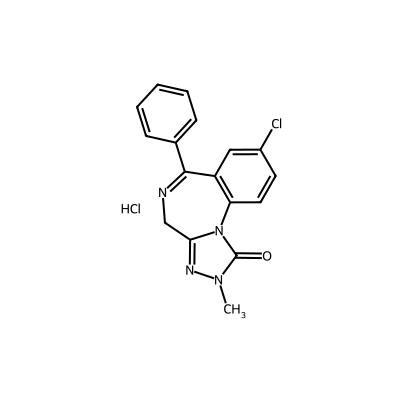 Cl.Cn1nc2n(c1=O)-c1ccc(Cl)cc1C(c1ccccc1)=NC2